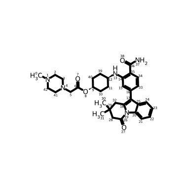 CN1CCN(CC(=O)O[C@H]2CC[C@H](Nc3cc(-c4c5n(c6ccccc46)C(=O)CC(C)(C)C5)ccc3C(N)=O)CC2)CC1